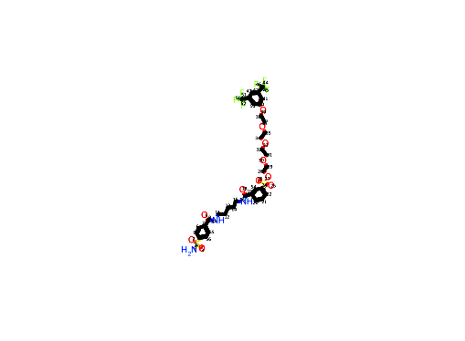 NS(=O)(=O)c1ccc(C(=O)NCCCCCNC(=O)c2cccc(S(=O)(=O)OCCOCCOCCOCCOc3cc(C(F)(F)F)cc(C(F)(F)F)c3)c2)cc1